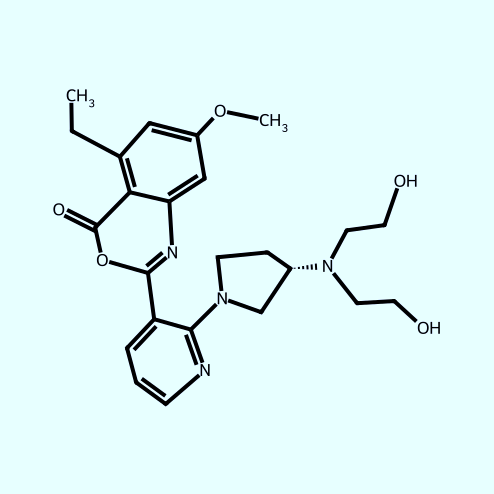 CCc1cc(OC)cc2nc(-c3cccnc3N3CC[C@H](N(CCO)CCO)C3)oc(=O)c12